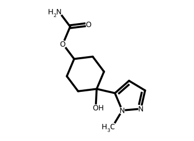 Cn1nccc1C1(O)CCC(OC(N)=O)CC1